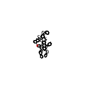 c1ccc(Oc2cc3c4c(c2)Sc2cc5ccccc5cc2B4c2cc4c(cc2S3)N(c2ccccc2)c2cc(Oc3ccccc3)cc3c2B4c2cc4ccccc4cc2N3c2ccc3ccccc3c2)cc1